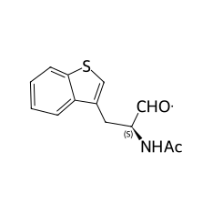 CC(=O)N[C@H]([C]=O)Cc1csc2ccccc12